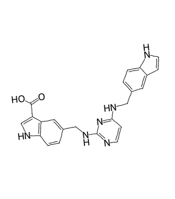 O=C(O)c1c[nH]c2ccc(CNc3nccc(NCc4ccc5[nH]ccc5c4)n3)cc12